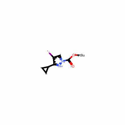 CC(C)(C)OC(=O)n1cc(I)c(C2CC2)n1